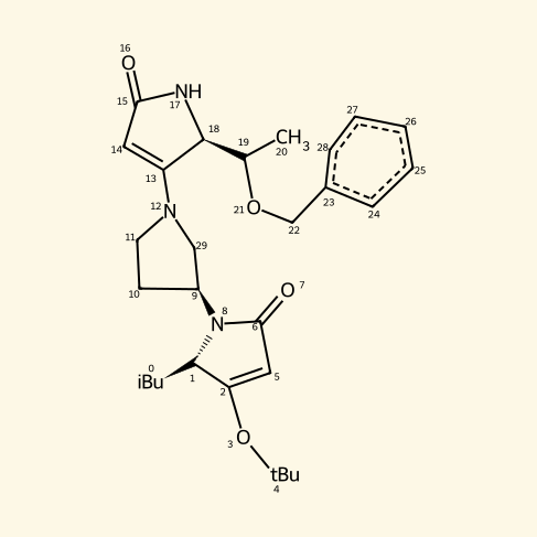 CC[C@H](C)[C@H]1C(OC(C)(C)C)=CC(=O)N1[C@H]1CCN(C2=CC(=O)N[C@H]2C(C)OCc2ccccc2)C1